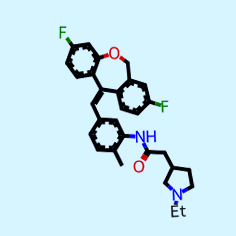 CCN1CCC(CC(=O)Nc2cc(/C=C3\c4ccc(F)cc4COc4cc(F)ccc43)ccc2C)C1